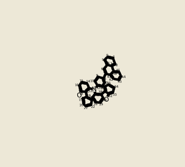 c1ccc2c(c1)cc(-c1ccc(N(c3cccc4oc5ccccc5c34)c3cccc4oc5ccccc5c34)cc1)c1ccccc12